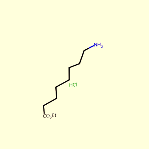 CCOC(=O)CCCCCCCN.Cl